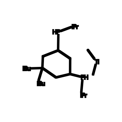 CCC(C)C1(C(C)CC)CC(PC(C)C)CC(PC(C)C)C1.[CH3][Ti][CH3]